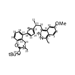 COc1ccc2c(C)nnc(C[C@H](C)c3ccc(-c4ccccc4CN(C)C(=O)OC(C)(C)C)s3)c2c1